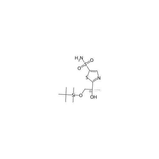 CC(C)(C)[Si](C)(C)OC[C@](C)(O)c1ncc(S(N)(=O)=O)s1